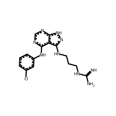 N=C(N)NCCCNc1n[nH]c2ncnc(Nc3cccc(Cl)c3)c12